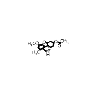 COc1cc(C)c2c3c1OC1C[C@H](OC(C)=O)C=CC31CCNC2